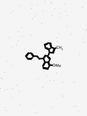 COc1cccc2c(CCc3ccccc3)cc(C3C=C(C)c4ccccc43)cc12